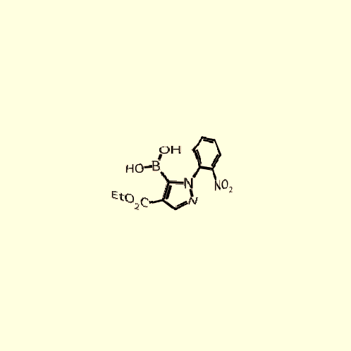 CCOC(=O)c1cnn(-c2ccccc2[N+](=O)[O-])c1B(O)O